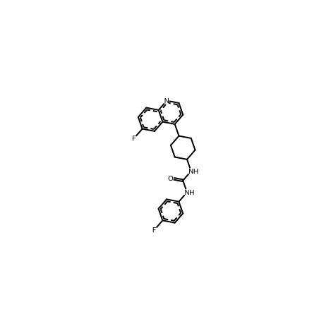 O=C(Nc1ccc(F)cc1)NC1CCC(c2ccnc3ccc(F)cc23)CC1